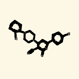 N#Cc1c(N2CCN(c3ccccc3Cl)CC2)cc(-c2ccc(Cl)cc2)oc1=O